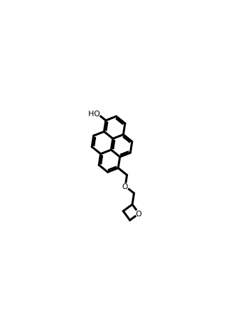 Oc1ccc2ccc3c(COCC4CCO4)ccc4ccc1c2c43